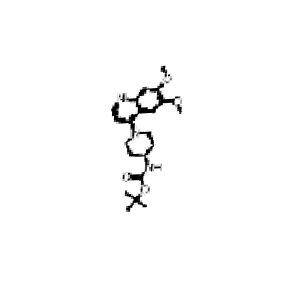 COc1cc2nccc(N3CCC(NC(=O)OC(C)(C)C)CC3)c2cc1OC